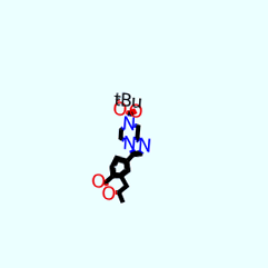 CC1Cc2cc(-c3cnc4n3CCN(C(=O)OC(C)(C)C)C4)ccc2C(=O)O1